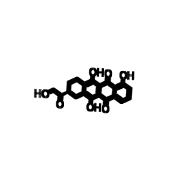 O=C1c2cccc(O)c2C(=O)c2c(O)c3c(c(O)c21)C[C@@H](C(=O)CO)CC3